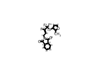 Cc1occc1SC(F)(F)C(F)=CCN1C(=O)c2ccccc2C1=O